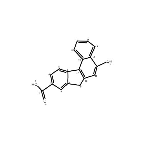 O=C(O)c1ccc2c(c1)Cc1cc(O)c3ccccc3c1-2